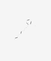 CCC=CCC=CCCOc1ccccc1C=O